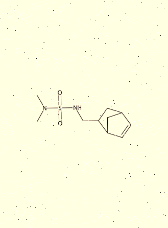 CN(C)S(=O)(=O)NCC1CC2C=CC1C2